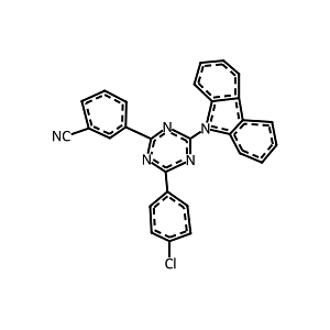 N#Cc1cccc(-c2nc(-c3ccc(Cl)cc3)nc(-n3c4ccccc4c4ccccc43)n2)c1